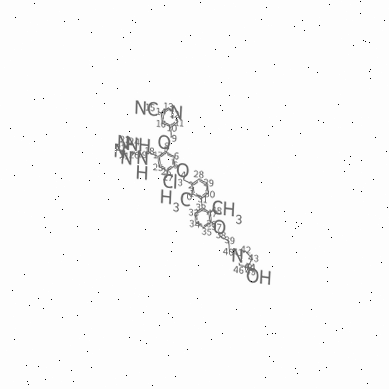 Cc1c(COc2cc(OCc3cncc(C#N)c3)c(CNc3nnn[nH]3)cc2Cl)cccc1-c1cccc(OCCCN2CC[C@@H](O)C2)c1C